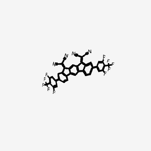 N#CC(C#N)=C1c2cc(-c3cc(F)c(C(F)(F)F)c(F)c3)ccc2-c2cc3c(cc21)C(=C(C#N)C#N)c1cc(-c2cc(F)c(C(F)(F)F)c(F)c2)ccc1-3